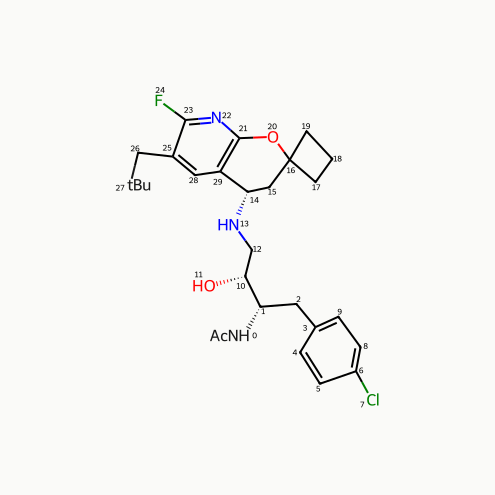 CC(=O)N[C@@H](Cc1ccc(Cl)cc1)[C@H](O)CN[C@H]1CC2(CCC2)Oc2nc(F)c(CC(C)(C)C)cc21